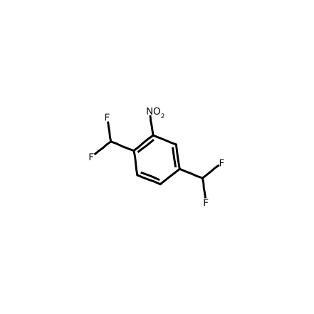 O=[N+]([O-])c1cc(C(F)F)ccc1C(F)F